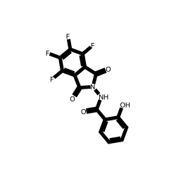 O=C(NN1C(=O)c2c(F)c(F)c(F)c(F)c2C1=O)c1ccccc1O